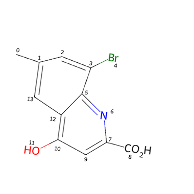 Cc1cc(Br)c2nc(C(=O)O)cc(O)c2c1